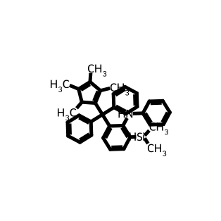 CC1=C(C)C(C)C(C(c2ccccc2)(c2ccccc2)c2cccc([SiH](C)C)c2Nc2ccccc2)=C1C